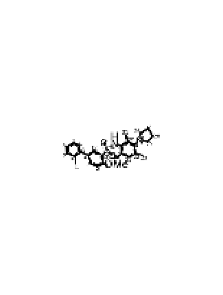 COc1ccc(-c2ccccc2C)cc1S(=O)(=O)Nc1c(C)cc(C)c(N2CCCC2)c1C